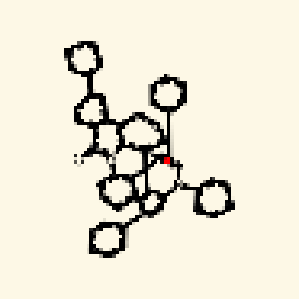 O=c1c2ccc(-c3ccccc3)cc2c2cccc3c2n1-c1ccccc1C31c2cc(-c3ccccc3)ccc2N(c2ccccc2)c2ccc(-c3ccccc3)cc21